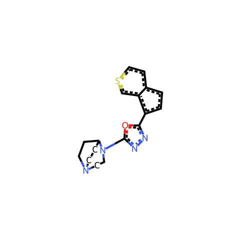 c1cc2ccc(-c3nnc(N4CCN5CCC4CC5)o3)c-2cs1